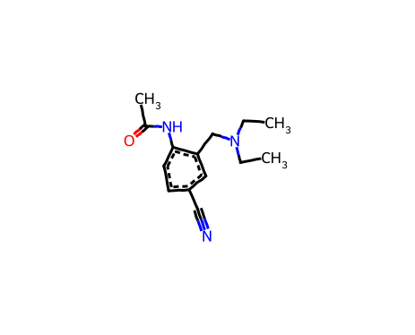 CCN(CC)Cc1cc(C#N)ccc1NC(C)=O